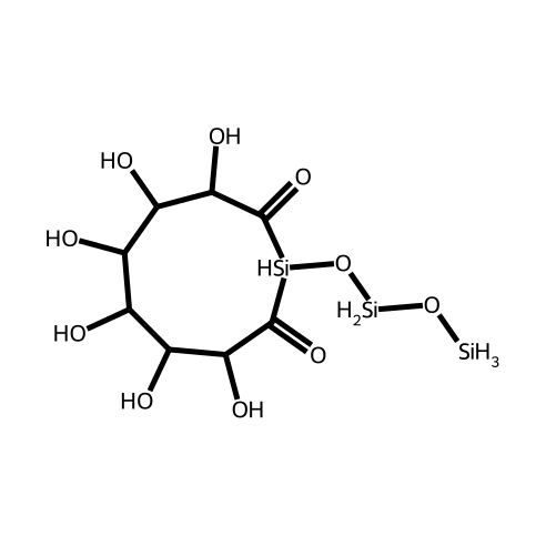 O=C1C(O)C(O)C(O)C(O)C(O)C(O)C(=O)[SiH]1O[SiH2]O[SiH3]